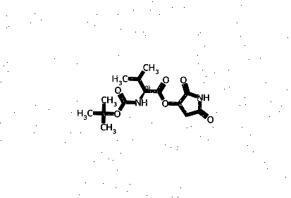 CC(C)[C@H](NC(=O)OC(C)(C)C)C(=O)OC1CC(=O)NC1=O